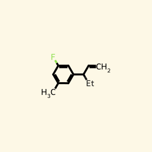 C=CC(CC)c1cc(C)cc(F)c1